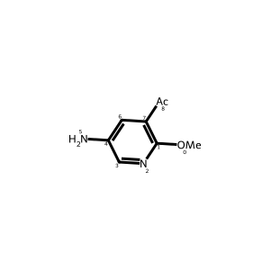 COc1ncc(N)cc1C(C)=O